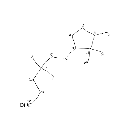 CC1CCC(CCC(C)(C)CCC=O)C1(C)C